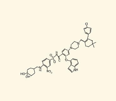 CC1(C)CCC(CN2CCN(c3ccc(C(=O)NS(=O)(=O)c4ccc(NCC5CCS(O)(O)CC5)c([N+](=O)[O-])c4)c(Oc4cccc5[nH]ccc45)c3)CC2)=C(c2ccc(Cl)cc2)C1